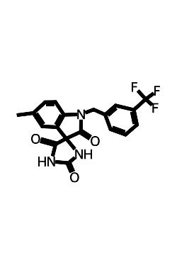 Cc1ccc2c(c1)C1(NC(=O)NC1=O)C(=O)N2Cc1cccc(C(F)(F)F)c1